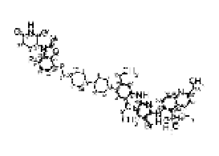 CCOc1cc(N2CCC(N3CCN(CCc4ccc(F)c5c4oc(=O)n5C4CCC(=O)NC4=O)CC3)CC2)c(CC)cc1Nc1ncc(Br)c(Nc2ccc3nc(CC)ccc3c2P(C)(C)=O)n1